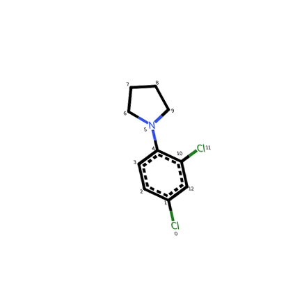 Clc1ccc(N2CCCC2)c(Cl)c1